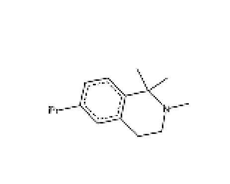 CC(C)c1ccc2c(c1)CCN(C)C2(C)C